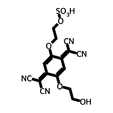 N#CC(C#N)=c1cc(OCCOS(=O)(=O)O)c(=C(C#N)C#N)cc1OCCO